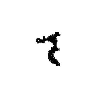 CC(C)[C@H](NC(=O)[C@@H](N)CCCCNC(=O)COC1C#CCCCCC1)C(=O)N[C@@H](CCCNC(N)=O)C(=O)Nc1ccc(COC(=O)N[C@@H](CO)C(=O)Nc2ccc3c(c2)[C@@]2(C)CCC[C@](C)(C(=O)NC(=O)[C@@]4(C)CCC[C@]5(C)c6cc(O)ccc6CC[C@@H]45)[C@@H]2CC3)cc1